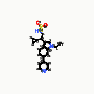 CC(C)Cn1cc(C(CN[SH](=O)=O)C2CC2)c2ccc(-c3ccncc3)cc21